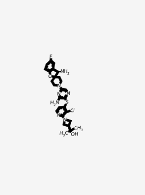 CC(C)(O)C1CN(c2nccc(Sc3ncc(N4CCC5(CC4)Oc4ccc(F)cc4[C@H]5N)nc3N)c2Cl)C1